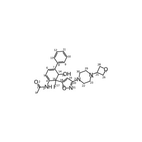 CC(=O)NC1=CC=C(c2ccccc2)C(O)C1(F)c1cc(N2CCN(C3COC3)CC2)no1